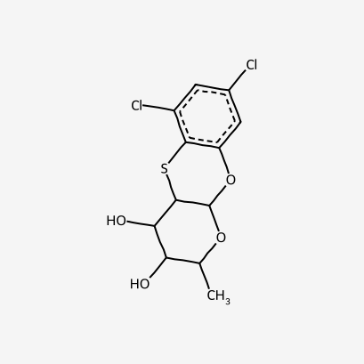 CC1OC2Oc3cc(Cl)cc(Cl)c3SC2C(O)C1O